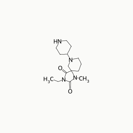 CCN1C(=O)N(C)C2(CCCN(C3CCNCC3)C2)C1=O